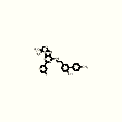 Cc1ccc(-c2cc(CCNc3nc(-c4cncc(F)c4)nc4c3nc3n4C(C)(C)CO3)ccc2O)cc1